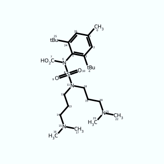 Cc1cc(C(C)(C)C)c(N(C(=O)O)S(=O)(=O)N(CCCN(C)C)CCCN(C)C)c(C(C)(C)C)c1